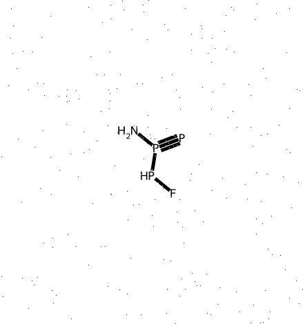 NP(#P)PF